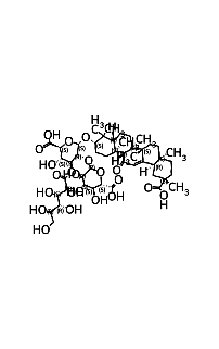 CC1(C)[C@@H](O[C@H]2O[C@H](C(=O)O)[C@@H](O)[C@H](OC(=O)[C@H](O)[C@@H](O)[C@H](O)[C@H](O)CO)[C@H]2O[C@@H]2O[C@H](C(=O)O)[C@@H](O)[C@H](O)[C@H]2O)CC[C@]2(C)[C@H]3C(=O)C=C4[C@@H]5C[C@@](C)(C(=O)O)CC[C@]5(C)CC[C@@]4(C)[C@]3(C)CC[C@@H]12